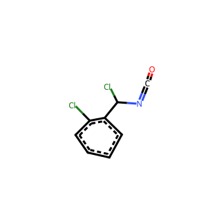 O=C=NC(Cl)c1ccccc1Cl